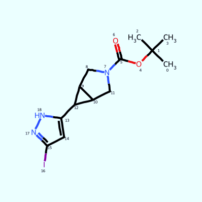 CC(C)(C)OC(=O)N1CC2C(C1)C2c1cc(I)n[nH]1